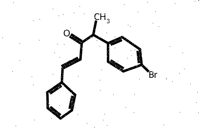 CC(C(=O)/C=C/c1ccccc1)c1ccc(Br)cc1